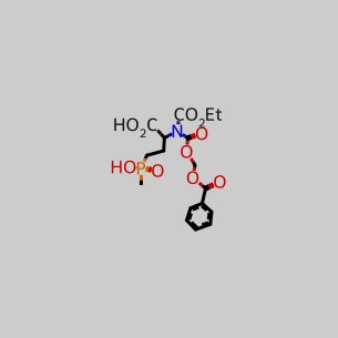 CCOC(=O)N(C(=O)OCOC(=O)c1ccccc1)C(CCP(C)(=O)O)C(=O)O